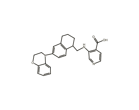 O=C(O)c1ccncc1NCC1CCCc2cc(N3CCOc4ccccc43)ccc21